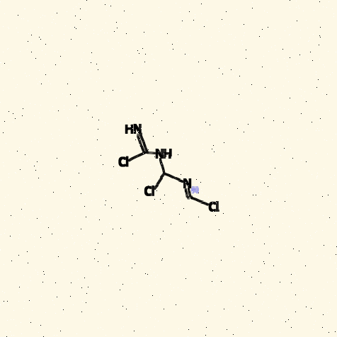 N=C(Cl)NC(Cl)/N=C/Cl